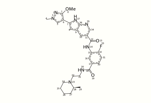 COc1nn(C)cc1-c1cc2cc(C(=O)Nc3cc(C(=O)NCCN4CCCC[C@@H]4C)ccc3F)cnc2[nH]1